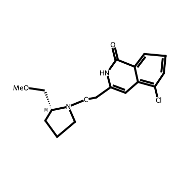 COC[C@H]1CCCN1CCc1cc2c(Cl)cccc2c(=O)[nH]1